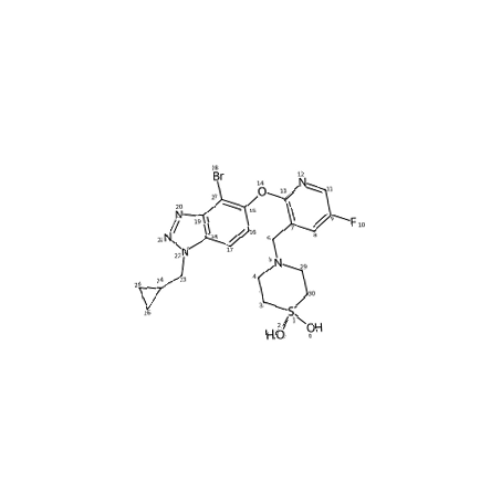 OS1(O)CCN(Cc2cc(F)cnc2Oc2ccc3c(nnn3CC3CC3)c2Br)CC1